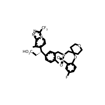 Cc1ccc([C@H](CC(=O)O)c2ccn3c(C(F)(F)F)nnc3c2C)cc1CN1CC2(CCOCC2)Oc2ccc(F)cc2S1(=O)=O